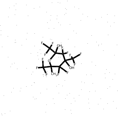 CC1(C(F)(F)F)OC(O)(C(F)(F)F)C(F)(F)C(O)(C(F)(F)F)C1(F)F